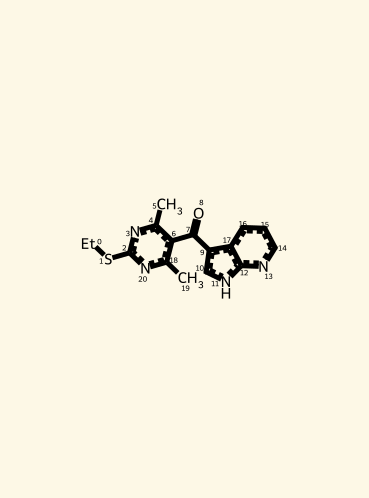 CCSc1nc(C)c(C(=O)c2c[nH]c3ncccc23)c(C)n1